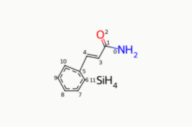 NC(=O)C=Cc1ccccc1.[SiH4]